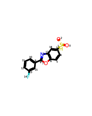 O=[SH](=O)c1ccc2oc(-c3cccc(F)c3)nc2c1